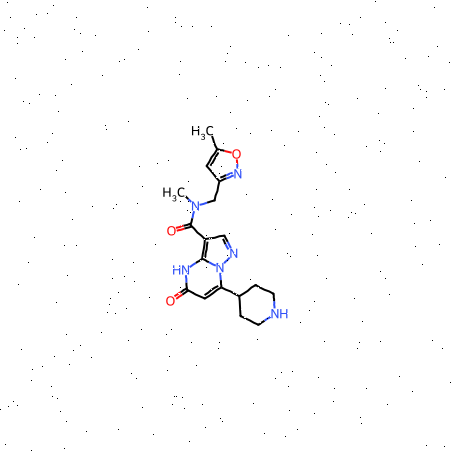 Cc1cc(CN(C)C(=O)c2cnn3c(C4CCNCC4)cc(=O)[nH]c23)no1